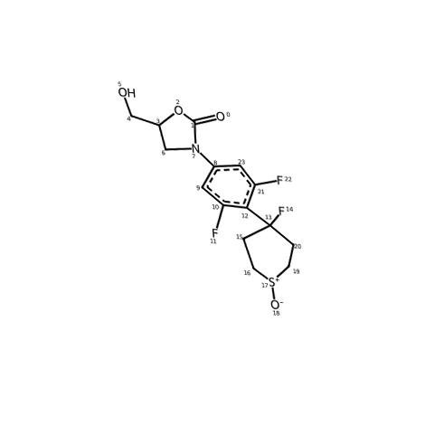 O=C1OC(CO)CN1c1cc(F)c(C2(F)CC[S+]([O-])CC2)c(F)c1